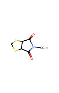 O=C(O)N1C(=O)C2SCSC2C1=O